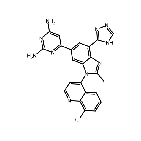 Cc1nc2c(-c3nnc[nH]3)cc(-c3cc(N)nc(N)n3)cc2n1-c1ccnc2c(Cl)cccc12